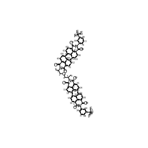 CC(COCC(C)N1C(=O)c2ccc3c4ccc5c6c(ccc(c7ccc(c2c37)C1=O)c64)C(=O)N(c1cccc(C(F)(F)F)c1)C5=O)N1C(=O)c2ccc3c4ccc5c6c(ccc(c7ccc(c2c37)C1=O)c64)C(=O)N(c1cccc(C(F)(F)F)c1)C5=O